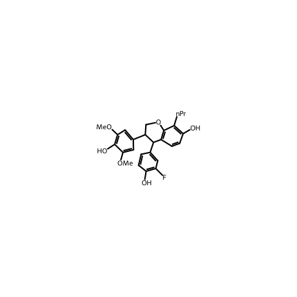 CCCc1c(O)ccc2c1OCC(c1cc(OC)c(O)c(OC)c1)C2c1ccc(O)c(F)c1